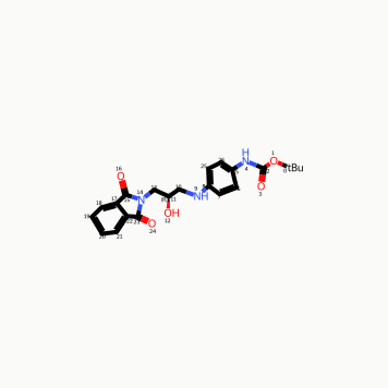 CC(C)(C)OC(=O)Nc1ccc(NC[C@@H](O)CN2C(=O)c3ccccc3C2=O)cc1